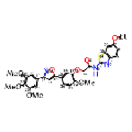 CCOc1ccc2nc(NC(=O)COc3cc(-c4cc(-c5cc(OC)c(OC)c(OC)c5)no4)ccc3OC)sc2c1